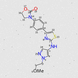 COCCn1cc(Nc2nc(-c3ccc(N4CCOC4=O)cc3)cs2)cn1